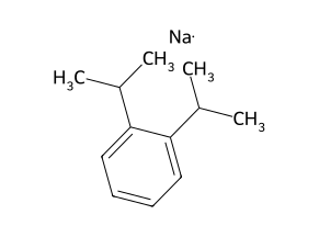 CC(C)c1ccccc1C(C)C.[Na]